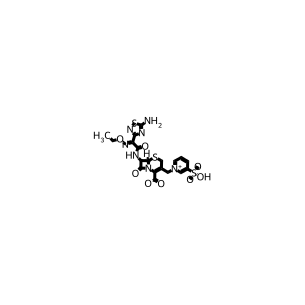 CCON=C(C(=O)NC1C(=O)N2C(C(=O)[O-])=C(C[n+]3cccc(S(=O)(=O)O)c3)CS[C@@H]12)c1nsc(N)n1